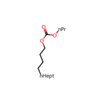 CCCCCCCCCCCOC(=O)OCCC